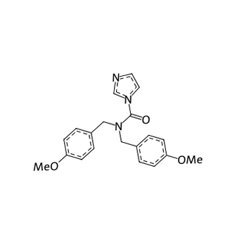 COc1ccc(CN(Cc2ccc(OC)cc2)C(=O)n2ccnc2)cc1